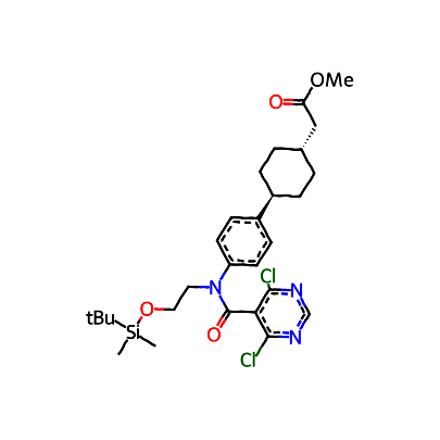 COC(=O)C[C@H]1CC[C@H](c2ccc(N(CCO[Si](C)(C)C(C)(C)C)C(=O)c3c(Cl)ncnc3Cl)cc2)CC1